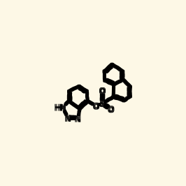 O=S(=O)(Oc1cccc2[nH]nnc12)c1cccc2ccccc12